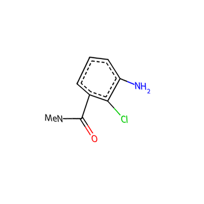 CNC(=O)c1cccc(N)c1Cl